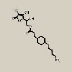 CCCCCCC1CCC(CCC(=O)OC[C@H](O)[C@H]2OC(=O)C(O)=C2O)CC1